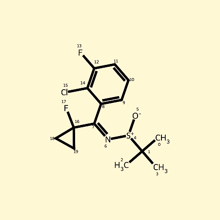 CC(C)(C)[S+]([O-])/N=C(\c1cccc(F)c1Cl)C1(F)CC1